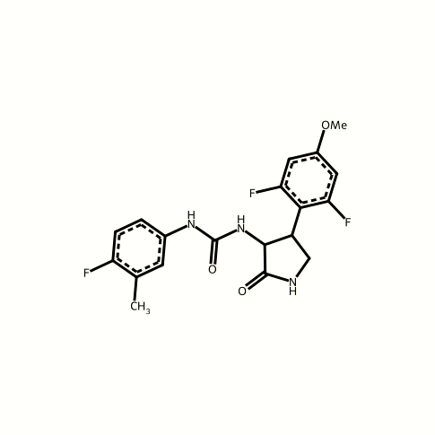 COc1cc(F)c(C2CNC(=O)C2NC(=O)Nc2ccc(F)c(C)c2)c(F)c1